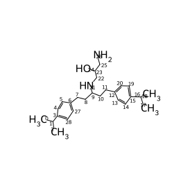 CC(C)c1ccc(CCC(CCc2ccc(C(C)C)cc2)NCC(O)CN)cc1